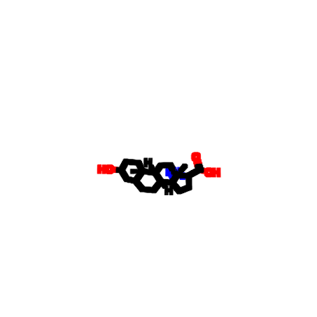 C[C@]12CCC(O)CC1CC[C@@H]1[C@H]2CC[C@]2(C)C(C(=O)O)CC[C@@]12N